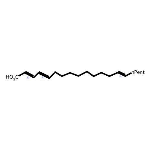 CCCCC/C=C/CCCCCCCC/C=C/C=C/C(=O)O